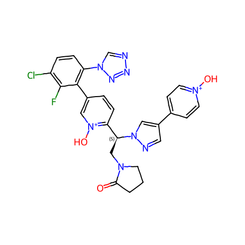 O=C1CCCN1C[C@@H](c1ccc(-c2c(-n3cnnn3)ccc(Cl)c2F)c[n+]1O)n1cc(-c2cc[n+](O)cc2)cn1